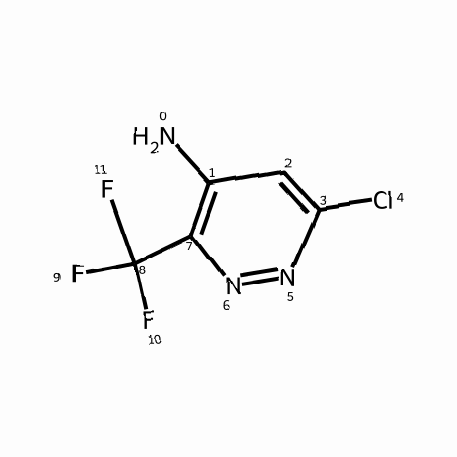 Nc1cc(Cl)nnc1C(F)(F)F